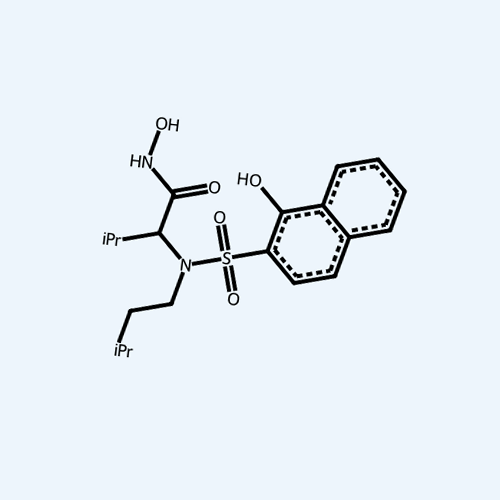 CC(C)CCN(C(C(=O)NO)C(C)C)S(=O)(=O)c1ccc2ccccc2c1O